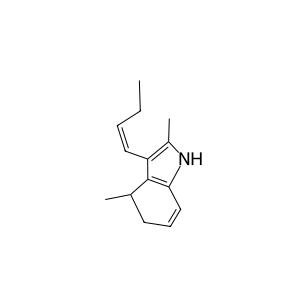 CC/C=C\c1c(C)[nH]c2c1C(C)CC=C2